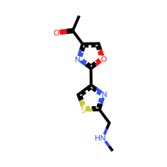 CNCc1nc(-c2nc(C(C)=O)co2)cs1